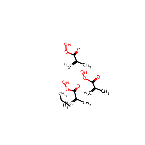 C=C(C)C(=O)OO.C=C(C)C(=O)OO.C=C(C)C(=O)OO.CCC